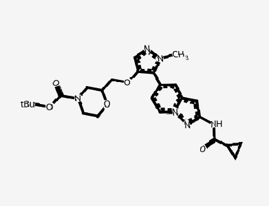 Cn1ncc(OCC2CN(C(=O)OC(C)(C)C)CCO2)c1-c1ccn2nc(NC(=O)C3CC3)cc2c1